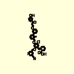 Cc1c(COc2cc(OCc3cncc(C#N)c3)c(CN3CCCC[C@H]3C(=O)O)cc2Cl)cccc1-c1cccc(OCCC(=O)N2CC[C@@H](O)C2)c1